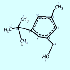 Cc1cc(CO)cc(C(C)(C)C)c1